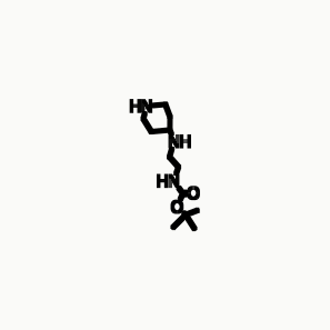 CC(C)(C)OC(=O)NCCNC1CCNCC1